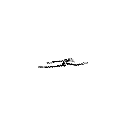 CCCCCCCCCCCCCCCCCCCCCCCCCc1cc[n+](CCCCCCCCCCCCCCCCCCCCCC)cc1.CCCCCCCCCCCCCCCCCCCC[n+]1ccc(C(CCCC)CCCC)cc1